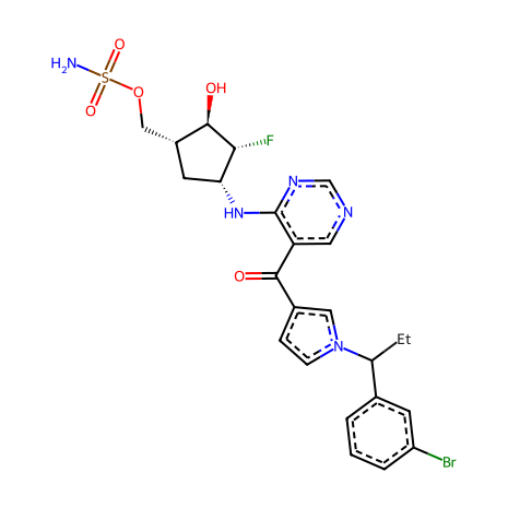 CCC(c1cccc(Br)c1)n1ccc(C(=O)c2cncnc2N[C@@H]2C[C@H](COS(N)(=O)=O)[C@@H](O)[C@@H]2F)c1